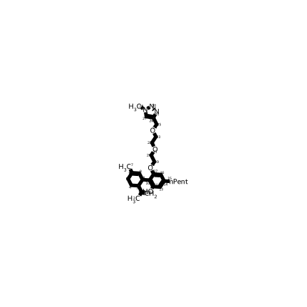 C=C(C)C1CCC(C)=CC1c1c(O)cc(CCCCC)cc1OCCOCCOCc1cn(C)nn1